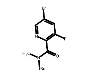 CN(C(=O)c1ncc(Br)cc1F)C(C)(C)C